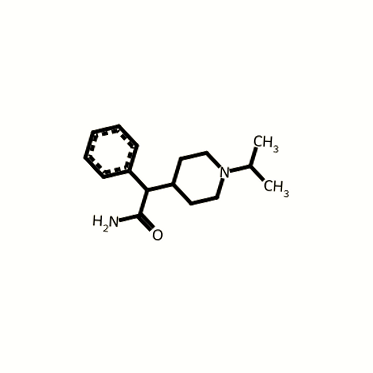 CC(C)N1CCC(C(C(N)=O)c2ccccc2)CC1